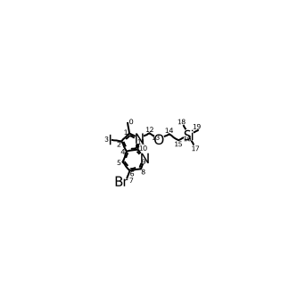 Cc1c(I)c2cc(Br)cnc2n1COCC[Si](C)(C)C